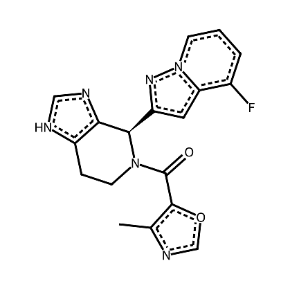 Cc1ncoc1C(=O)N1CCc2[nH]cnc2[C@H]1c1cc2c(F)cccn2n1